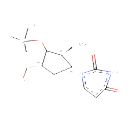 CO[C@@H]1C(O[Si](C)(C)C(C)(C)C)[C@@H](CO)C[C@H]1n1ccc(=O)[nH]c1=O